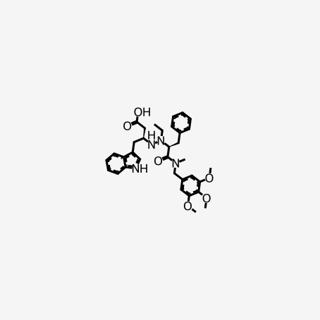 CCN(N[C@H](CC(=O)O)Cc1c[nH]c2ccccc12)[C@@H](Cc1ccccc1)C(=O)N(C)Cc1cc(OC)c(OC)c(OC)c1